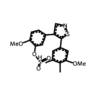 COc1ccc(-c2cnsc2-c2cc(C)c(C)c(OC)c2)cc1O[SH](=O)=O